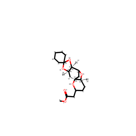 COC(=O)CC1CC[C@@H]2OC3C[C@]2(C[C@H]2OC4(CCCCC4)O[C@@H]32)O1